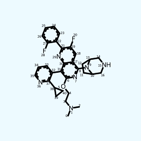 CN(C)CCOc1nc(N2C3CCC2CNC3)c2cc(F)c(-c3ccccc3F)nc2c1-c1cccnc1C1CC1